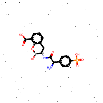 NC(C(=O)N[C@H]1Cc2cccc(C(=O)O)c2OB1O)c1ccc(P(=O)(O)O)cc1